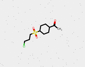 CC(=O)C1CCC(S(=O)(=O)CCCCl)CC1